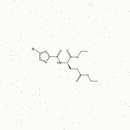 CCOC(=O)CC[C@@H](NC(=O)c1cc(Br)co1)C(=O)OCC